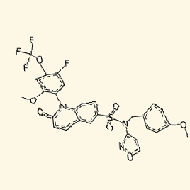 COc1ccc(CN(c2ccon2)S(=O)(=O)c2ccc3c(ccc(=O)n3-c3cc(F)c(OC(F)(F)F)cc3OC)c2)cc1